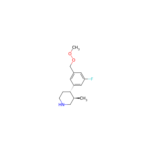 COOCc1cc(F)cc([C@H]2CCNC[C@@H]2C)c1